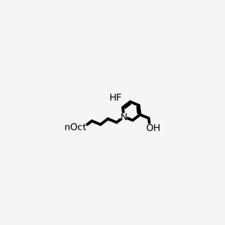 CCCCCCCCCCCCN1C=CC=C(CO)C1.F